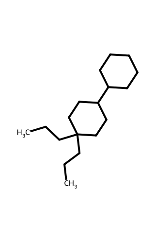 CCCC1(CCC)CCC(C2CCCCC2)CC1